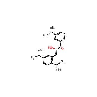 CCCCC(C)c1cccc(C(=O)C(O)=Cc2cc(C(C)CCCC)ccc2C(C)CCCC)c1